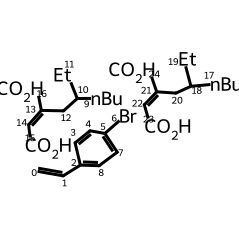 C=Cc1ccc(Br)cc1.CCCCC(CC)C/C(=C\C(=O)O)C(=O)O.CCCCC(CC)C/C(=C\C(=O)O)C(=O)O